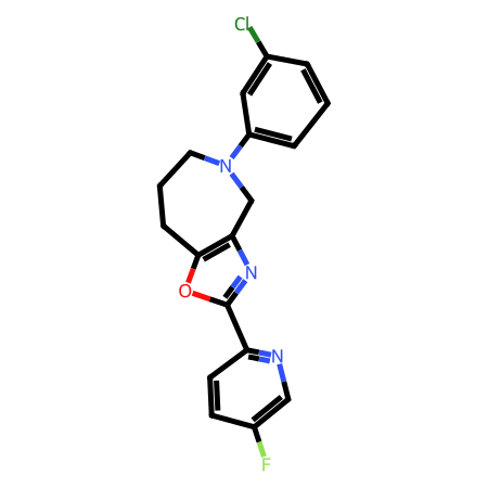 Fc1ccc(-c2nc3c(o2)CCCN(c2cccc(Cl)c2)C3)nc1